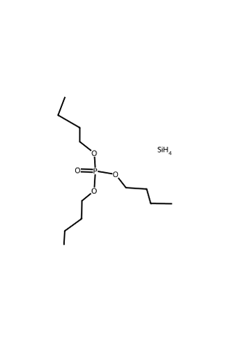 CCCCOP(=O)(OCCCC)OCCCC.[SiH4]